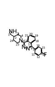 NCC1CCN(c2nnc(-c3ccc(F)cc3)c3ccccc23)CC1